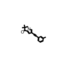 Cc1cccc(C#Cc2cc3n(c2)CC(C)(C)C3=O)c1